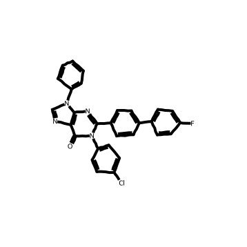 O=c1c2ncn(-c3ccccc3)c2nc(-c2ccc(-c3ccc(F)cc3)cc2)n1-c1ccc(Cl)cc1